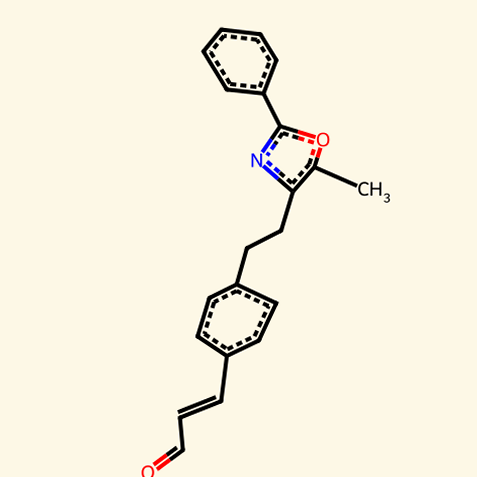 Cc1oc(-c2ccccc2)nc1CCc1ccc(C=CC=O)cc1